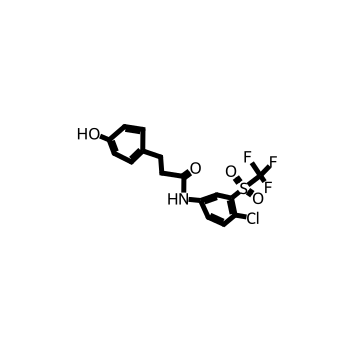 O=C(CCc1ccc(O)cc1)Nc1ccc(Cl)c(S(=O)(=O)C(F)(F)F)c1